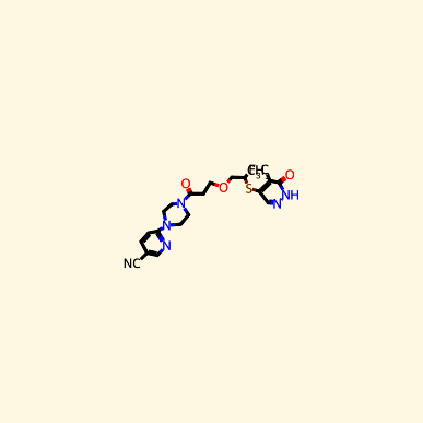 CC(COCCC(=O)N1CCN(c2ccc(C#N)cn2)CC1)Sc1cn[nH]c(=O)c1C(F)(F)F